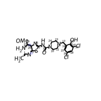 C=C/N=C1/SC(NC(=O)N2CCN(Cc3cc(Cl)cc(Cl)c3O)CC2)=N/C1=C(/N)OC